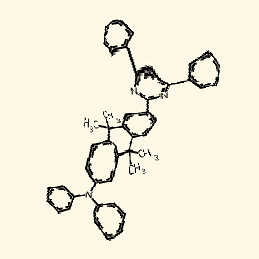 CC1(C)c2ccc(N(c3ccccc3)c3ccccc3)cc2C(C)(C)c2ccc(-c3nc(-c4ccccc4)cc(-c4ccccc4)n3)cc21